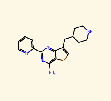 Nc1nc(-c2ccccn2)nc2c(CC3CCNCC3)csc12